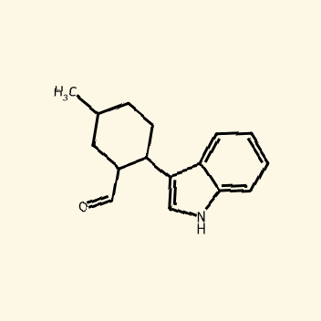 CC1CCC(c2c[nH]c3ccccc23)C(C=O)C1